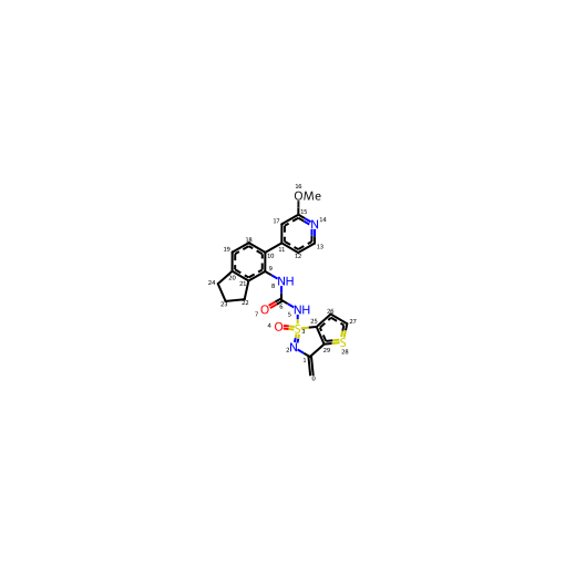 C=C1N=S(=O)(NC(=O)Nc2c(-c3ccnc(OC)c3)ccc3c2CCC3)c2ccsc21